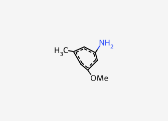 COc1cc(C)cc(N)c1